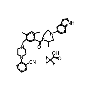 Cc1cc(C)c(C(=O)N2CCN(c3ccc4[nH]ccc4c3)CC2C)cc1CN1CCN(c2ccccc2C#N)CC1.O=C(O)C(F)(F)F